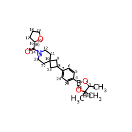 CC1OB(c2ccc(C3CC4(CCN(C(=O)[C@H]5CCCO5)CC4)C3)cc2)OC1(C)C